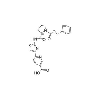 O=C(O)c1ccc(-c2csc(NC(=O)[C@@H]3CCCN3C(=O)OCc3ccccc3)n2)nc1